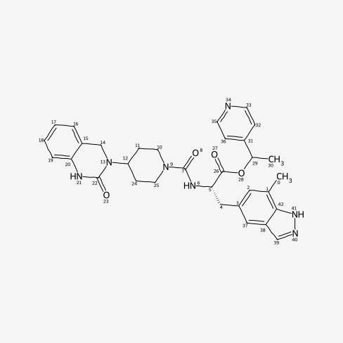 Cc1cc(C[C@H](NC(=O)N2CCC(N3Cc4ccccc4NC3=O)CC2)C(=O)OC(C)c2ccncc2)cc2cn[nH]c12